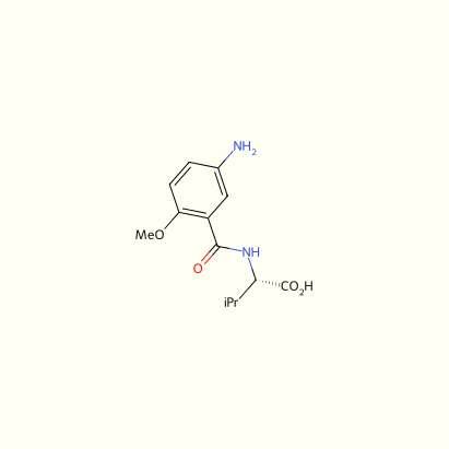 COc1ccc(N)cc1C(=O)N[C@H](C(=O)O)C(C)C